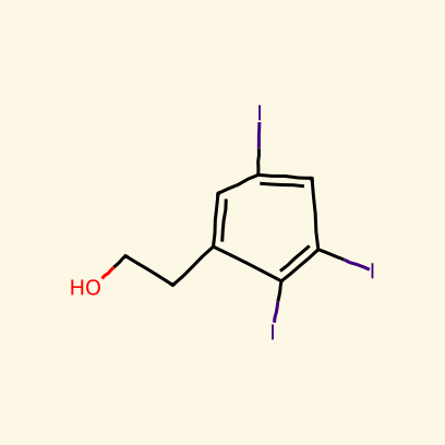 OCCc1cc(I)cc(I)c1I